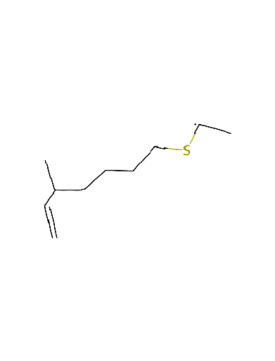 C=CC(C)CCCCS[CH]C